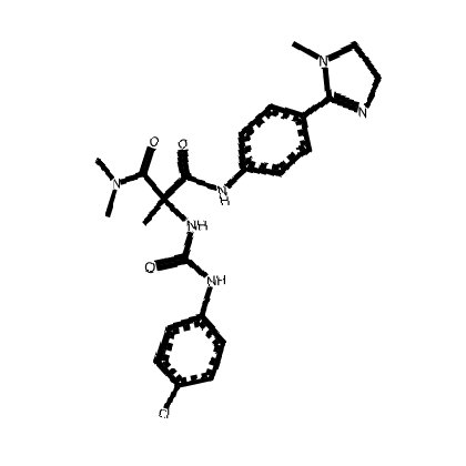 CN(C)C(=O)C(C)(NC(=O)Nc1ccc(Cl)cc1)C(=O)Nc1ccc(C2=NCCN2C)cc1